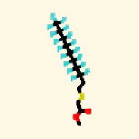 COC(=O)CSCCC(F)(F)C(F)(F)C(F)(F)C(F)(F)C(F)(F)C(F)(F)C(F)(F)C(F)(F)F